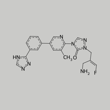 Cc1cc(-c2cccc(-c3nnc[nH]3)c2)cnc1-n1cnn(C/C(=C/F)CN)c1=O